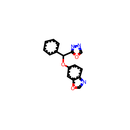 c1ccc(C(Oc2ccc3ncoc3c2)c2nnco2)cc1